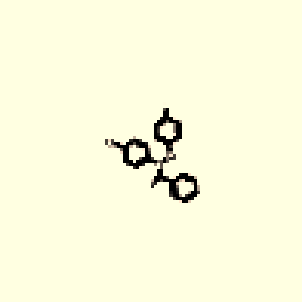 O=C(c1ccccc1)N(Nc1ccc(Cl)cc1)c1ccc(Cl)cc1